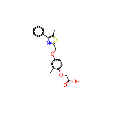 Cc1cc(OCc2nc(-c3ccccc3)c(C)s2)ccc1OCC(=O)O